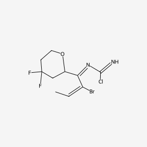 C/C=C(Br)\C(=N/C(=N)Cl)C1CC(F)(F)CCO1